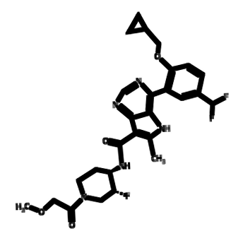 COCC(=O)N1CC[C@@H](NC(=O)c2c(C)[nH]c3c(-c4cc(C(F)F)ccc4OCC4CC4)ncnc23)[C@H](F)C1